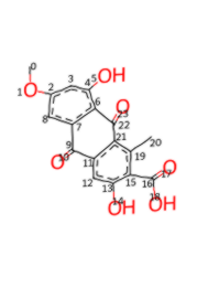 COc1cc(O)c2c(c1)C(=O)c1cc(O)c(C(=O)O)c(C)c1C2=O